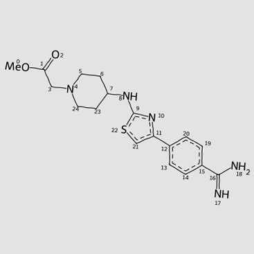 COC(=O)CN1CCC(Nc2nc(-c3ccc(C(=N)N)cc3)cs2)CC1